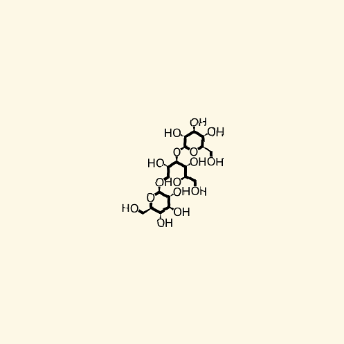 OC[C@@H](O)[C@@H](O)[C@H](O[C@@H]1O[C@H](CO)[C@@H](O)[C@H](O)[C@H]1O)[C@@H](O)CO[C@@H]1O[C@H](CO)[C@@H](O)[C@H](O)[C@H]1O